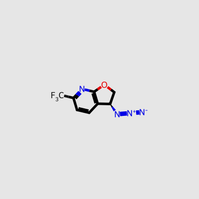 [N-]=[N+]=N[C@@H]1COc2nc(C(F)(F)F)ccc21